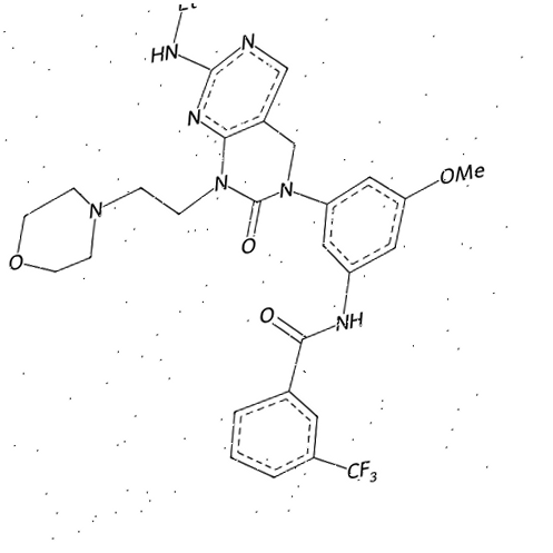 CCNc1ncc2c(n1)N(CCN1CCOCC1)C(=O)N(c1cc(NC(=O)c3cccc(C(F)(F)F)c3)cc(OC)c1)C2